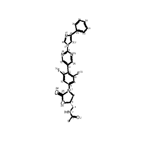 CC(=O)NC[C@H]1CN(c2cc(F)c(-c3cnc(-n4cnc(-c5ccccc5)c4)nc3)c(F)c2)C(=O)O1